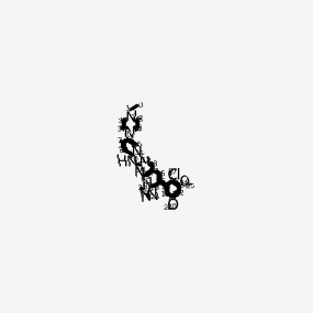 CCN1CCN(c2ccc(Nc3ncc4cc(-c5cc(OC)cc(OC)c5Cl)c5nncn5c4n3)nc2)CC1